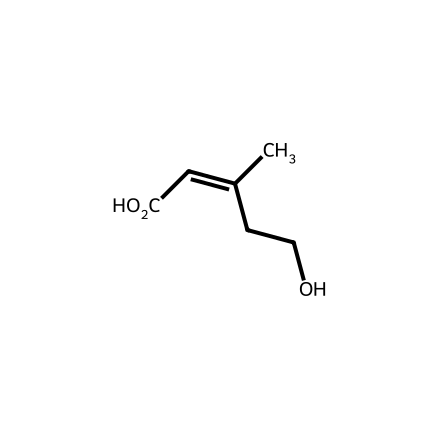 CC(=CC(=O)O)CCO